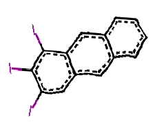 Ic1cc2cc3ccccc3cc2c(I)c1I